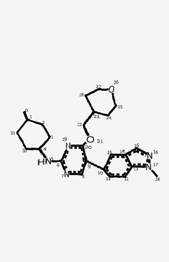 CC1CCC(Nc2ncc(-c3ccc4c(cnn4C)c3)c(OCC3CCOCC3)n2)CC1